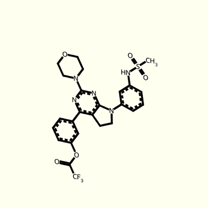 CS(=O)(=O)Nc1cccc(N2CCc3c(-c4cccc(OC(=O)C(F)(F)F)c4)nc(N4CCOCC4)nc32)c1